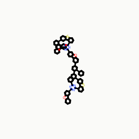 c1ccc(-c2nc(-c3ccc4c(c3)oc3ccc(-c5ccc(-c6cccc(-c7ccc8sc9cccc(-c%10nc(-c%11ccccc%11)nc(-c%11ccc%12oc%13ccccc%13c%12c%11)n%10)c9c8c7)c6)c(-c6ccccc6)c5)cc34)nc(-c3cccc4sc5ccc(-c6cccc(-c7ccccc7-c7ccccc7)c6)cc5c34)n2)cc1